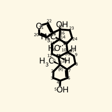 C[C@]12CCC(O)C=C1CC[C@@H]1[C@H]2CC[C@]2(C)C(O)(c3ccoc3)CC[C@@]12O